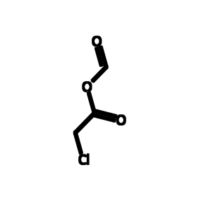 O=COC(=O)CCl